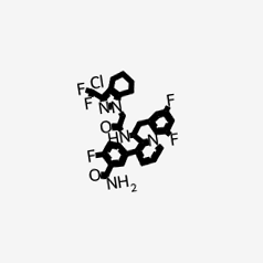 NC(=O)c1cc(-c2cccnc2C(Cc2cc(F)cc(F)c2)NC(=O)Cn2nc(C(F)(F)Cl)c3c2CCCC3)ccc1F